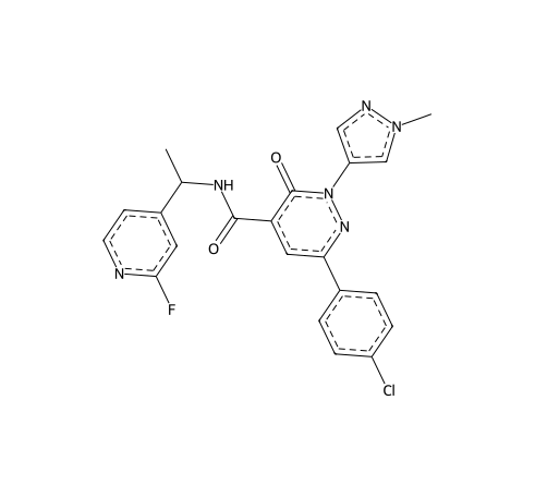 CC(NC(=O)c1cc(-c2ccc(Cl)cc2)nn(-c2cnn(C)c2)c1=O)c1ccnc(F)c1